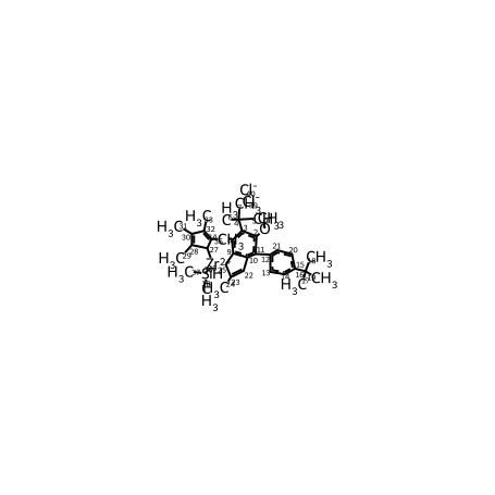 COc1c(C(C)(C)C)cc2c(c1-c1ccc(C(C)(C)C)cc1)C=C(C)[CH]2[Zr+2]([CH]1C(C)=C(C)C(C)=C1C)[SiH](C)C.[Cl-].[Cl-]